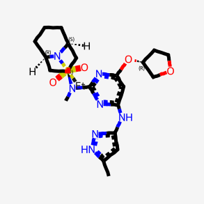 CCS(=O)(=O)N1[C@@H]2CCC[C@H]1C[C@@H](N(C)c1nc(Nc3cc(C)[nH]n3)cc(O[C@@H]3CCOC3)n1)C2